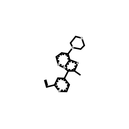 C=Cc1cc(-c2c(C)nc3c(N4CCOCC4)ccnn23)ccn1